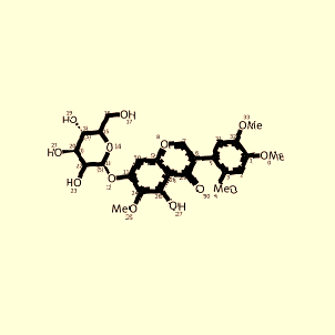 COc1cc(OC)c(-c2coc3cc(O[C@@H]4OC(CO)[C@@H](O)[C@H](O)C4O)c(OC)c(O)c3c2=O)cc1OC